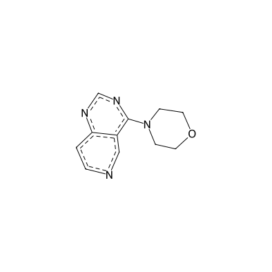 c1cc2ncnc(N3CCOCC3)c2cn1